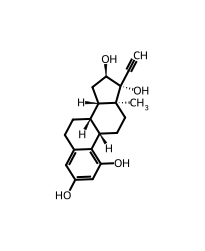 C#C[C@]1(O)[C@H](O)C[C@H]2[C@H]3CCc4cc(O)cc(O)c4[C@H]3CC[C@@]21C